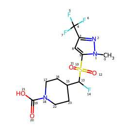 Cn1nc(C(F)(F)F)cc1S(=O)(=O)C(F)C1CCN(C(=O)O)CC1